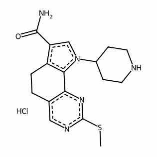 CSc1ncc2c(n1)-c1c(c(C(N)=O)cn1C1CCNCC1)CC2.Cl